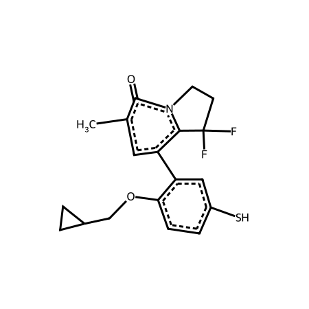 Cc1cc(-c2cc(S)ccc2OCC2CC2)c2n(c1=O)CCC2(F)F